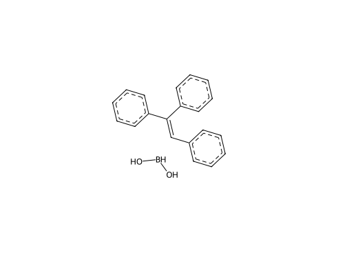 C(=C(c1ccccc1)c1ccccc1)c1ccccc1.OBO